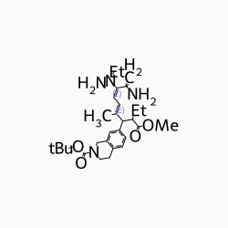 C=C(N)/C(=C\C=C(/C)C(c1ccc2c(c1)CN(C(=O)OC(C)(C)C)CC2)C(CC)C(=O)OC)N(N)CC